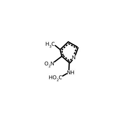 Cc1ccnc(NC(=O)O)c1[N+](=O)[O-]